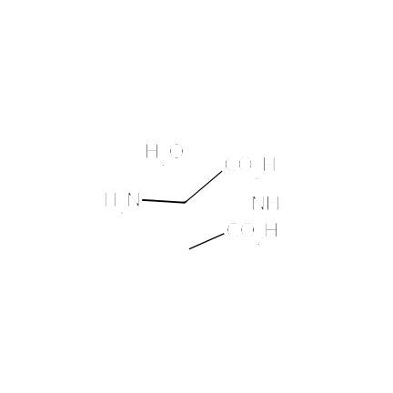 CC(=O)O.N.NCC(=O)O.O